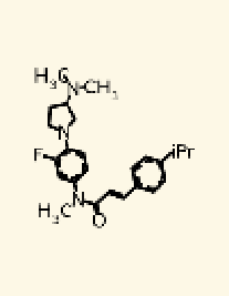 CC(C)c1ccc(/C=C/C(=O)N(C)c2ccc(N3CCC(N(C)C)C3)c(F)c2)cc1